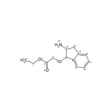 CCOC(=O)COC1c2ccccc2CC1N